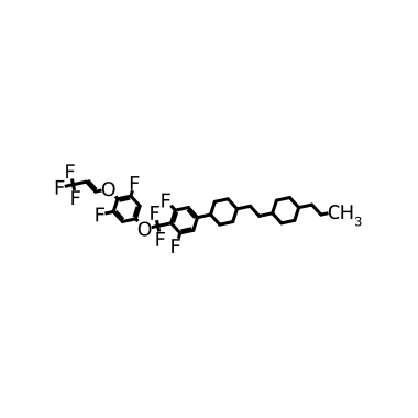 CCCC1CCC(CCC2CCC(c3cc(F)c(C(F)(F)Oc4cc(F)c(O/C=C/C(F)(F)F)c(F)c4)c(F)c3)CC2)CC1